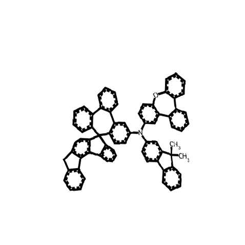 CC1(C)c2ccccc2-c2ccc(N(c3ccc4c(c3)-c3ccccc3-c3ccccc3O4)c3ccc4c(c3)-c3ccccc3-c3ccccc3C43c4ccccc4-c4c3ccc3c4-c4ccccc4C3)cc21